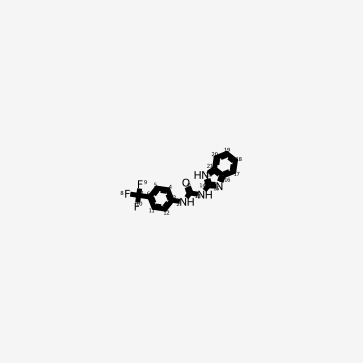 O=C(Nc1ccc(C(F)(F)F)cc1)Nc1nc2ccccc2[nH]1